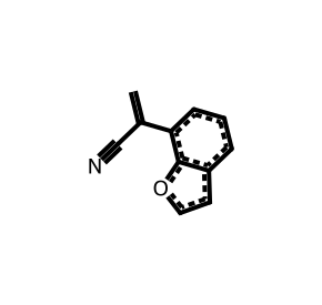 C=C(C#N)c1cccc2ccoc12